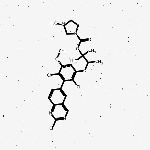 COc1cc(OC(C)C(C)(C)OC(=O)N2CC[C@H](C)C2)c(Cl)c(-c2ccc3nc(Cl)ncc3c2)c1Cl